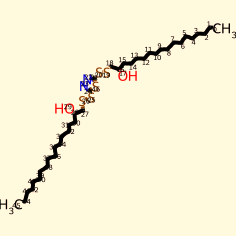 CCCCCCCCCCCCCCCCC(O)CSSc1nnc(SSCC(O)CCCCCCCCCCCCCCCC)s1